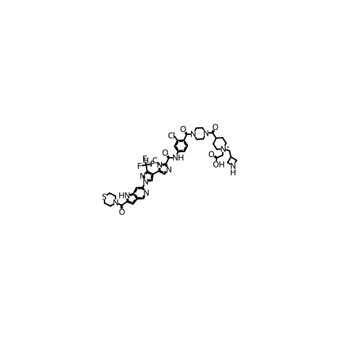 Cn1c(-c2cn(-c3cc4[nH]c(C(=O)N5CCSCC5)cc4cn3)nc2C(F)(F)F)cnc1C(=O)Nc1ccc(C(=O)N2CCN(C(=O)C3CC[N+](CC(=O)O)(CC4CNC4)CC3)CC2)c(Cl)c1